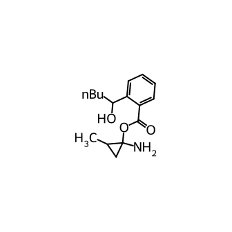 CCCCC(O)c1ccccc1C(=O)OC1(N)CC1C